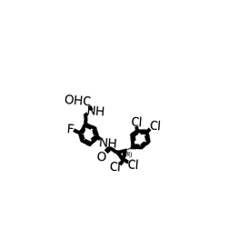 O=CNCc1cc(NC(=O)C2[C@H](c3ccc(Cl)c(Cl)c3)C2(Cl)Cl)ccc1F